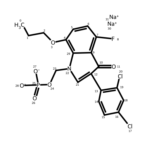 CCCOc1ccc(F)c2c(=O)c(-c3ccc(Cl)cc3Cl)cn(COP(=O)([O-])[O-])c12.[Na+].[Na+]